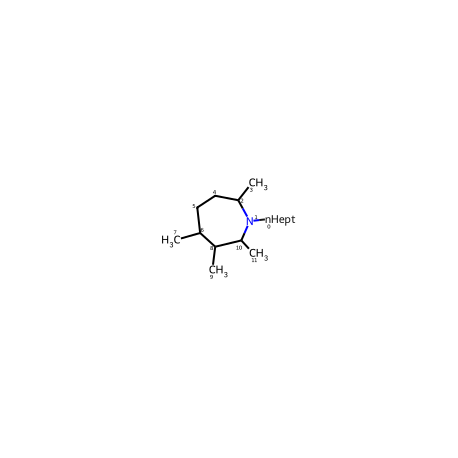 CCCCCCCN1C(C)CCC(C)C(C)C1C